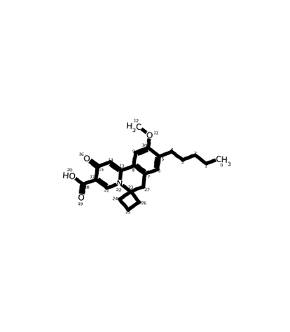 CCCCCc1cc2c(cc1OC)-c1cc(=O)c(C(=O)O)cn1C1(CCC1)C2